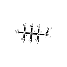 [3H][SiH2][Si]([3H])([3H])[Si]([3H])([3H])[Si]([3H])([3H])[3H]